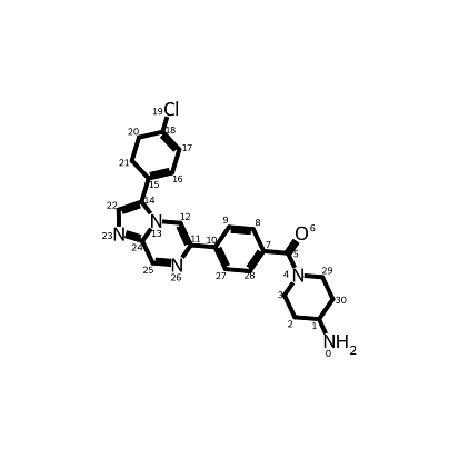 NC1CCN(C(=O)c2ccc(-c3cn4c(C5=CC=C(Cl)CC5)cnc4cn3)cc2)CC1